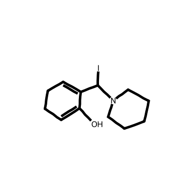 OC1=CCCC=C1C(I)N1CCCCC1